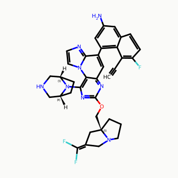 C#Cc1c(F)ccc2cc(N)cc(-c3cc4nc(OC[C@@]56CCCN5CC(=C(F)F)C6)nc(N5[C@@H]6CC[C@H]5CNC6)c4n4ccnc34)c12